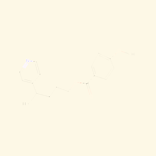 COc1ccc(C(=O)OCCCC(C)c2ccncc2)cc1